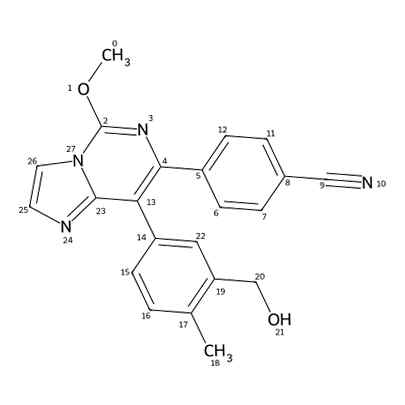 COc1nc(-c2ccc(C#N)cc2)c(-c2ccc(C)c(CO)c2)c2nccn12